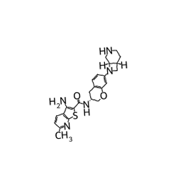 Cc1ccc2c(N)c(C(=O)N[C@H]3COc4cc(N5C[C@H]6CCNC[C@H]65)ccc4C3)sc2n1